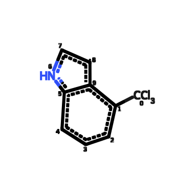 ClC(Cl)(Cl)c1cccc2[nH]c[c]c12